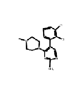 CN1CCN(c2nc(N)ncc2-c2cccc(Cl)c2Cl)CC1